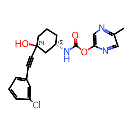 Cc1cnc(OC(=O)N[C@H]2CCC[C@@](O)(C#Cc3cccc(Cl)c3)C2)cn1